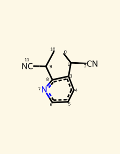 CC(C#N)c1cccnc1C(C)C#N